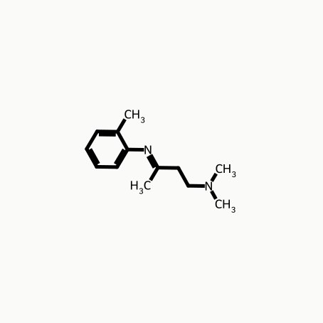 C/C(CCN(C)C)=N\c1ccccc1C